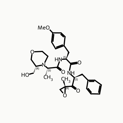 COc1ccc(C[C@H](NC(=O)[C@H](C)N2CCOC[C@H]2CO)C(=O)N[C@@H](Cc2ccccc2)C(=O)[C@@]2(C)CO2)cc1